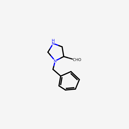 O=CC1CNCN1Cc1ccccc1